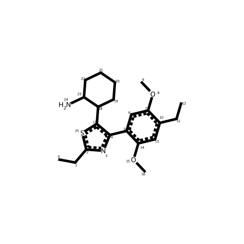 CCc1nc(-c2cc(OC)c(CC)cc2OC)c(C2CCCCC2N)s1